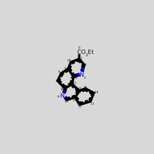 CCOC(=O)c1cnc2c(ccc3ncc4ccccc4c32)c1